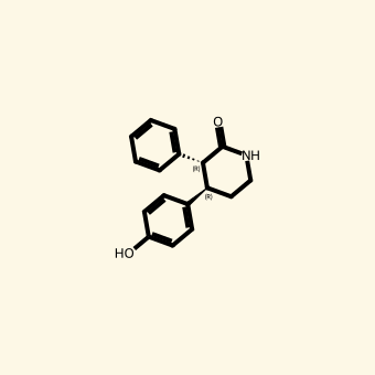 O=C1NCC[C@@H](c2ccc(O)cc2)[C@@H]1c1ccccc1